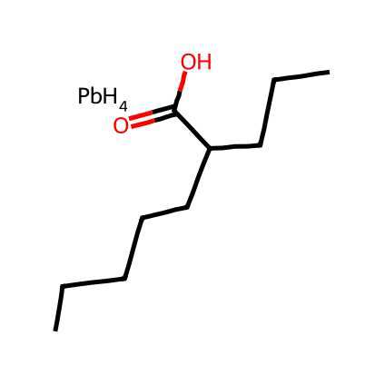 CCCCCC(CCC)C(=O)O.[PbH4]